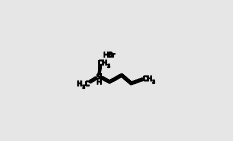 Br.CCCC[SiH](C)C